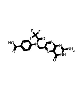 Nc1nc2ncc(CN(C(=O)C(F)(F)F)c3ccc(C(=O)O)cc3)nc2c(=O)[nH]1